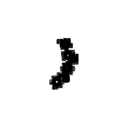 Cn1cc(-c2ccc3c(N4CCN(C(=O)Cc5ccccc5)CC4)cnn3c2)cn1